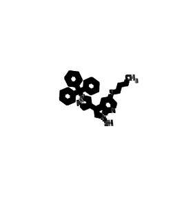 CCCCSc1cnc2c(c1)c(-c1cnn(C(c3ccccc3)(c3ccccc3)c3ccccc3)c1)cn2S